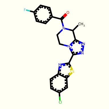 CC1c2nnc(-c3nc4ccc(Cl)cc4s3)n2CCN1C(=O)c1ccc(F)cc1